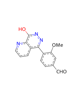 COc1cc(C=O)ccc1-c1nnc(O)c2ncccc12